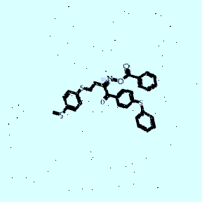 CSc1ccc(SCC/C(=N/OC(=O)c2ccccc2)C(=O)c2ccc(Sc3ccccc3)cc2)cc1